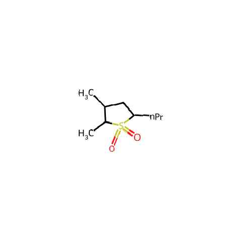 CCCC1CC(C)C(C)S1(=O)=O